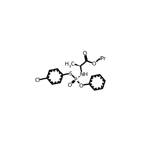 CC(C)OC(=O)[C@H](C)N[P@@](=O)(Oc1ccccc1)Sc1ccc(Cl)cc1